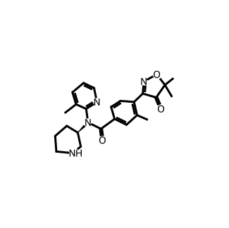 Cc1cc(C(=O)N(c2ncccc2C)[C@@H]2CCCNC2)ccc1C1=NOC(C)(C)C1=O